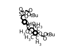 Cc1c(C)c2c(c(C)c1OCC(=O)OC(C)(C)C)C(=NO)CC(C)(COc1ccc(CC3SC(=O)N(CC(=O)OC(C)(C)C)C3=O)cc1)O2